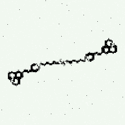 C(=C\c1cc2c3c(c1)CCCN3CCC2)/c1cc[n+](CCCCCCSSCCCCCC[n+]2ccc(/C=C/c3cc4c5c(c3)CCCN5CCC4)cc2)cc1